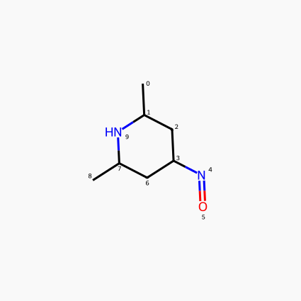 CC1CC(N=O)CC(C)N1